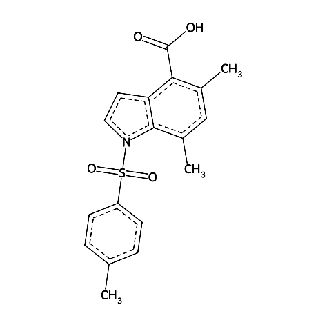 Cc1ccc(S(=O)(=O)n2ccc3c(C(=O)O)c(C)cc(C)c32)cc1